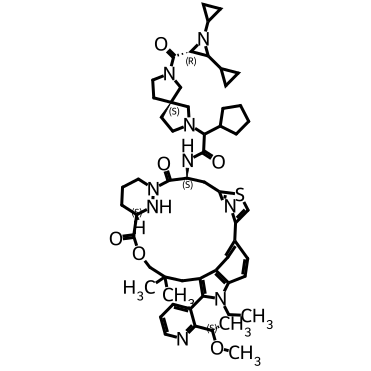 CCn1c(-c2cccnc2[C@H](C)OC)c2c3cc(ccc31)-c1csc(n1)C[C@H](NC(=O)C(C1CCCC1)N1CC[C@]3(CCN(C(=O)[C@H]4C(C5CC5)N4C4CC4)C3)C1)C(=O)N1CCC[C@H](N1)C(=O)OCC(C)(C)C2